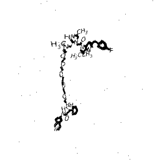 C[C@@H]1CN(CC(=O)N2CC(C)(C)c3ncc(Cc4ccc(F)cc4)cc32)[C@@H](CN(C)CCOCCOCCOCCOCCOCCNC[C@@H](C(=O)Nc2ccc3cnccc3c2)c2ccccc2)CN1